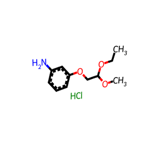 CCOC(COc1cccc(N)c1)OC.Cl